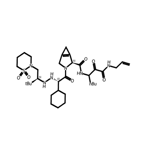 C=CCNC(=O)C(=O)C(CCCC)NC(=O)[C@@H]1C2=C(C2)CN1C(=O)[C@@H](NN[C@H](CN1CCCCS1(=O)=O)C(C)(C)C)C1CCCCC1